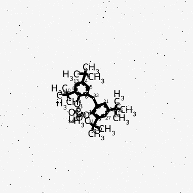 CC(C)(C)c1cc2c(c(C(C)(C)C)c1)OP(=O)([O-])Oc1c(cc(C(C)(C)C)cc1C(C)(C)C)C2.[Li+]